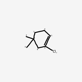 CC1(C)CCC=C(Cl)C1